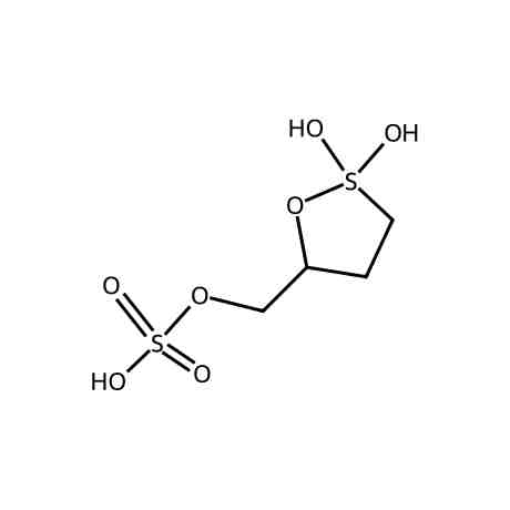 O=S(=O)(O)OCC1CCS(O)(O)O1